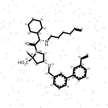 C=CCCCCN[C@H](C(=O)N1C[C@H](OCc2cccc(-c3cccc(C=C)c3)c2)C[C@@]1(C)C(=O)O)C1CCCCC1